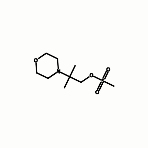 CC(C)(COS(C)(=O)=O)N1CCOCC1